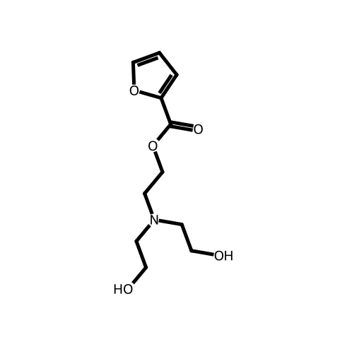 O=C(OCCN(CCO)CCO)c1ccco1